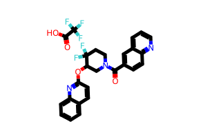 O=C(O)C(F)(F)F.O=C(c1ccc2ncccc2c1)N1CCC(F)(F)C(Oc2ccc3ccccc3n2)C1